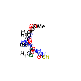 COC1=CC[C@@H]([C@@H](C)/C=C(C)/C=C\C=C/C(=O)N[C@H](C(=O)N/C=C\C[C@H](C/C=C(\C)Cl)OC(=O)NCCCNC(=O)CCS)C(C)(C)C)OC1O